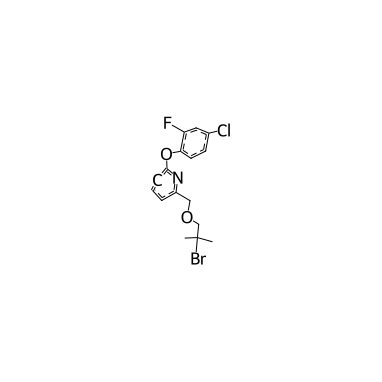 CC(C)(Br)COCc1cccc(Oc2ccc(Cl)cc2F)n1